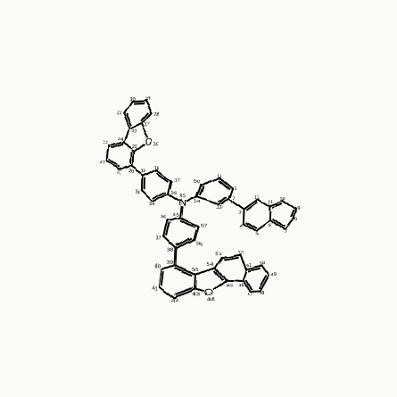 c1cc(-c2ccc3ccccc3c2)cc(N(c2ccc(-c3cccc4c3oc3ccccc34)cc2)c2ccc(-c3cccc4oc5c6ccccc6ccc5c34)cc2)c1